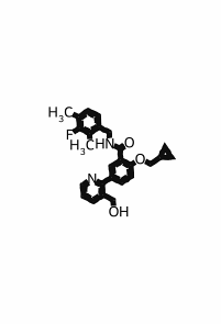 Cc1ccc(CNC(=O)c2cc(-c3ncccc3CO)ccc2OCC2CC2)c(C)c1F